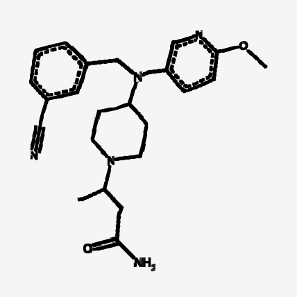 COc1ccc(N(Cc2cccc(C#N)c2)C2CCN(C(C)CC(N)=O)CC2)cn1